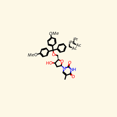 CC(=O)CC(C)C.CC(=O)CC(C)C.COc1ccc(C(OC[C@H]2O[C@@H](n3cc(C)c(=O)[nH]c3=O)CC2O)(c2ccccc2)c2ccc(OC)cc2)cc1